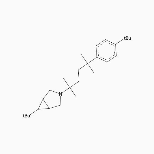 CC(C)(C)c1ccc(C(C)(C)CCC(C)(C)N2CC3C(C2)C3C(C)(C)C)cc1